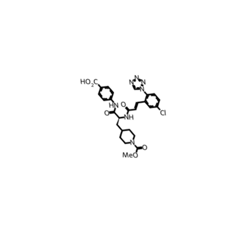 COC(=O)N1CCC(C[C@H](NC(=O)C=Cc2cc(Cl)ccc2-n2cnnn2)C(=O)Nc2ccc(C(=O)O)cc2)CC1